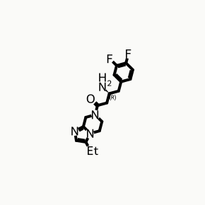 CCc1cnc2n1CCN(C(=O)C[C@H](N)Cc1ccc(F)c(F)c1)C2